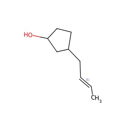 C/C=C/CC1CCC(O)C1